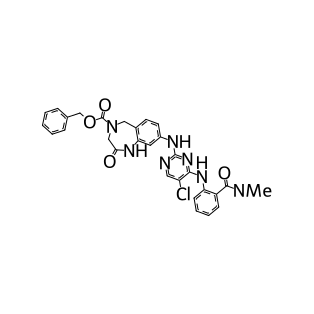 CNC(=O)c1ccccc1Nc1nc(Nc2ccc3c(c2)NC(=O)CN(C(=O)OCc2ccccc2)C3)ncc1Cl